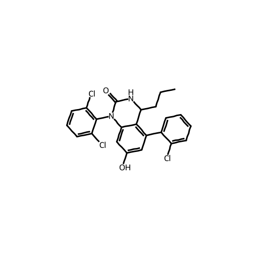 CCCC1NC(=O)N(c2c(Cl)cccc2Cl)c2cc(O)cc(-c3ccccc3Cl)c21